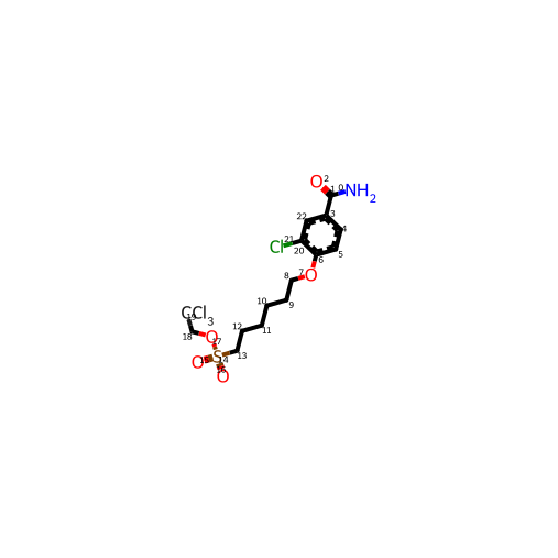 NC(=O)c1ccc(OCCCCCCS(=O)(=O)OCC(Cl)(Cl)Cl)c(Cl)c1